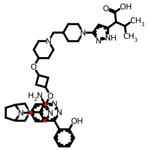 CC(C)C(C(=O)O)c1cc(N2CCC(CN3CCC(OC4CC(Oc5cc(N6C7CCC6CN(c6cc(-c8ccccc8O)nnc6N)C7)ccn5)C4)CC3)CC2)n[nH]1